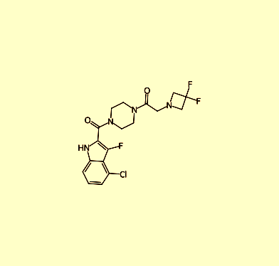 O=C(CN1CC(F)(F)C1)N1CCN(C(=O)c2[nH]c3cccc(Cl)c3c2F)CC1